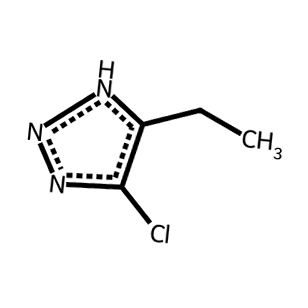 CCc1[nH]nnc1Cl